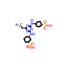 CCc1nc(Nc2ccc(S(=O)(=O)O)cc2)nc(Nc2cccc(S(=O)(=O)O)c2)n1